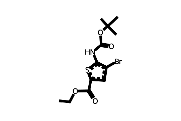 CCOC(=O)c1cc(Br)c(NC(=O)OC(C)(C)C)s1